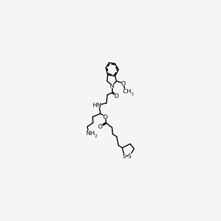 COC1c2ccccc2CN1C(=O)CCNC(CCCN)OC(=O)CCCCC1CCSS1